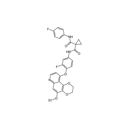 CCOc1cc2nccc(Oc3ccc(NC(=O)C4(C(=O)Nc5ccc(F)cc5)CC4)cc3F)c2c2c1OCCO2